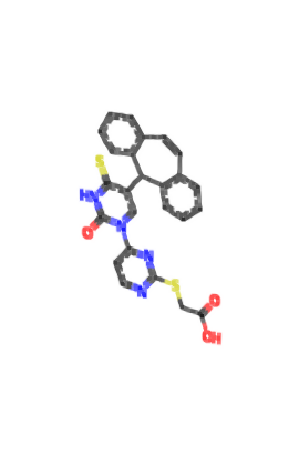 O=C(O)CSc1nccc(-n2cc(C3c4ccccc4C=Cc4ccccc43)c(=S)[nH]c2=O)n1